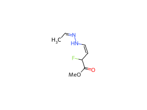 C/C=N\N/C=C\C(F)C(=O)OC